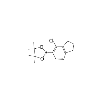 CC1(C)OB(c2ccc3c(c2Cl)CCC3)OC1(C)C